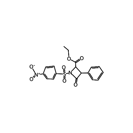 CCOC(=O)C1C(c2ccccc2)C(=O)N1S(=O)(=O)c1ccc([N+](=O)[O-])cc1